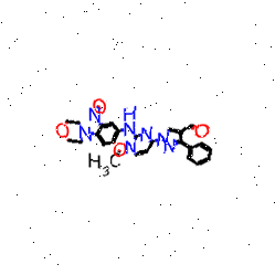 COc1cc(N2CCOCC2)c(N=O)cc1Nc1nccc(-n2cc(C=O)c(-c3ccccc3)n2)n1